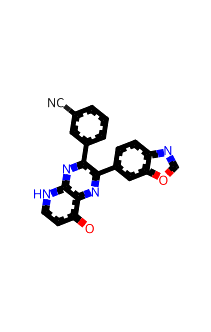 N#Cc1cccc(-c2nc3[nH]ccc(=O)c3nc2-c2ccc3ncoc3c2)c1